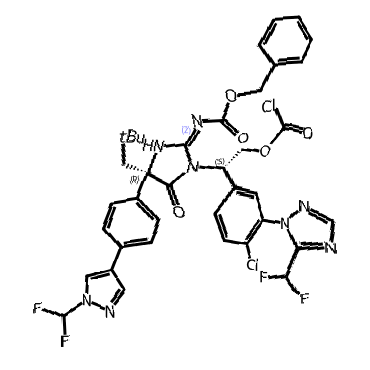 CC(C)(C)C[C@]1(c2ccc(-c3cnn(C(F)F)c3)cc2)N/C(=N/C(=O)OCc2ccccc2)N([C@H](COC(=O)Cl)c2ccc(Cl)c(-n3ncnc3C(F)F)c2)C1=O